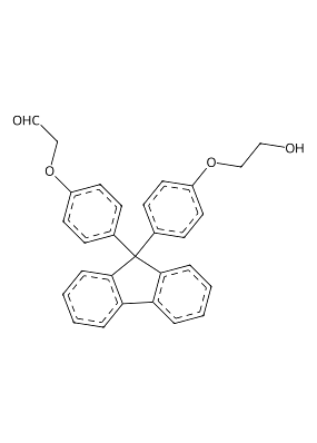 O=CCOc1ccc(C2(c3ccc(OCCO)cc3)c3ccccc3-c3ccccc32)cc1